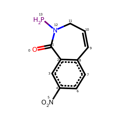 O=C1c2cc([N+](=O)[O-])ccc2C=CCN1P